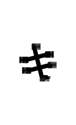 CCCC(S)(S)C(S)(S)S